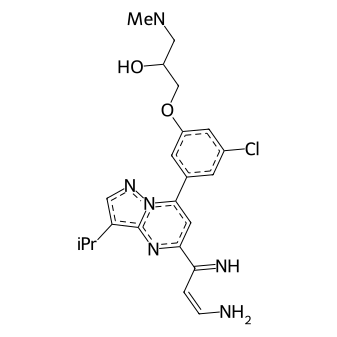 CNCC(O)COc1cc(Cl)cc(-c2cc(C(=N)/C=C\N)nc3c(C(C)C)cnn23)c1